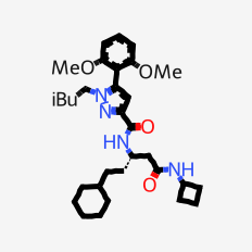 CCC(C)Cn1nc(C(=O)N[C@@H](CCC2CCCCC2)CC(=O)NC2CCC2)cc1-c1c(OC)cccc1OC